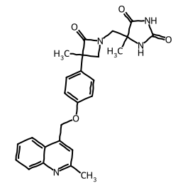 Cc1cc(COc2ccc(C3(C)CN(CC4(C)NC(=O)NC4=O)C3=O)cc2)c2ccccc2n1